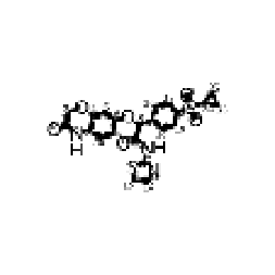 O=C1COc2cc(OC(C(=O)Nc3nccs3)c3ccc(S(=O)(=O)C4CC4)cc3)ccc2N1